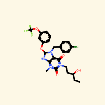 CCC(O)CCn1c(=O)c2c(n(C)c1=O)NC(Oc1cccc(OC(F)(F)F)c1)N2Cc1ccc(Cl)cc1